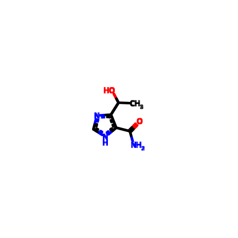 CC(O)c1nc[nH]c1C(N)=O